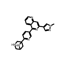 Cn1cc(-c2cc3ncccc3c(-c3ccc(C45CNCC(C4)N5)nc3)n2)cn1